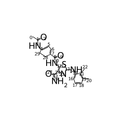 CC(=O)NC1=CC=C(C(=O)Nc2sc(Nc3cccc(C)c3C)nc2C(N)=O)CC1